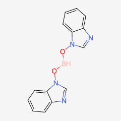 B(On1cnc2ccccc21)On1cnc2ccccc21